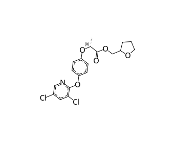 C[C@@H](Oc1ccc(Oc2ncc(Cl)cc2Cl)cc1)C(=O)OCC1CCCO1